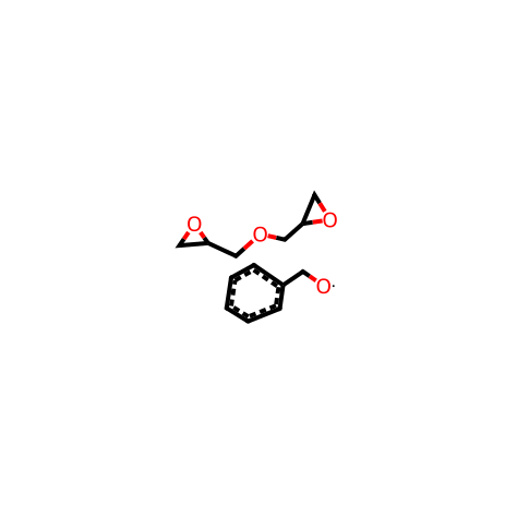 C(OCC1CO1)C1CO1.[O]Cc1ccccc1